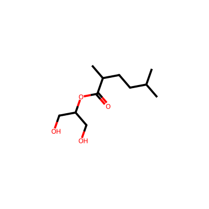 CC(C)CCC(C)C(=O)OC(CO)CO